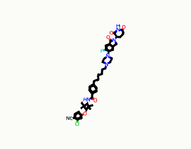 CC1(C)[C@H](NC(=O)c2ccc(CCCCCCN3CCN(c4cc5c(cc4F)C(=O)N(C4CCC(=O)NC4=O)C5)CC3)cc2)C(C)(C)[C@H]1Oc1ccc(C#N)c(Cl)c1